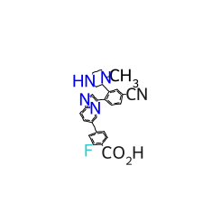 CN1CCNCC1c1cc(C#N)ccc1-c1cnc2ccc(-c3ccc(C(=O)O)c(F)c3)cn12